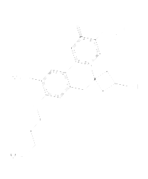 CCOC(=O)c1cn2c(cc1=O)-c1cc(OC)c(OCCCOC)cc1CC21CC(O)C1